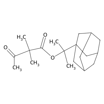 CC(=O)C(C)(C)C(=O)OC(C)(C)C12CC3CC(CC(C3)C1)C2